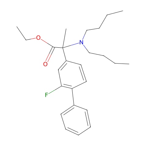 CCCCN(CCCC)C(C)(C(=O)OCC)c1ccc(-c2ccccc2)c(F)c1